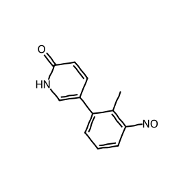 Cc1c(N=O)cccc1-c1ccc(=O)[nH]c1